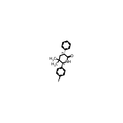 CC1(C)C[C@H](c2ccccc2)C(=O)N[C@H]1c1ccc(F)cc1